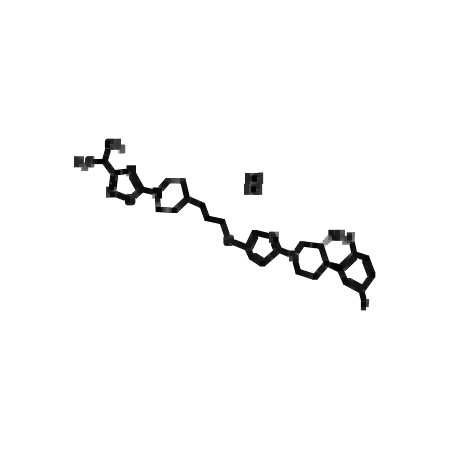 CC(C)c1noc(N2CCC(CCCOc3ccc(N4CC[C@H](c5cc(F)ccc5F)[C@@H](N)C4)nc3)CC2)n1.Cl.Cl